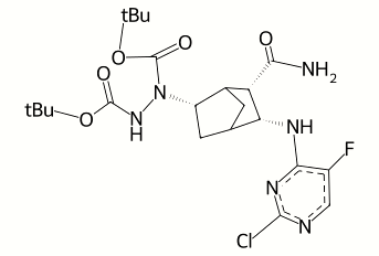 CC(C)(C)OC(=O)NN(C(=O)OC(C)(C)C)[C@H]1CC2CC1[C@H](C(N)=O)[C@@H]2Nc1nc(Cl)ncc1F